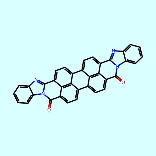 O=c1c2ccc3c4ccc5c(=O)n6c7ccccc7nc6c6ccc(c7ccc(c2c37)c2nc3ccccc3n12)c4c56